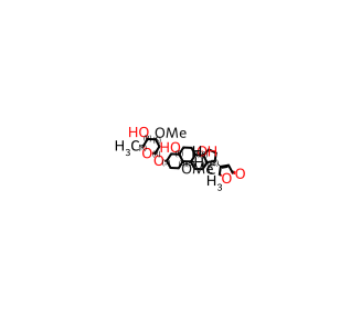 CO[C@H]1C[C@H](O[C@H]2CC[C@]3(OC)[C@H]4CC[C@]5(C)[C@@H](C6=CC(=O)OC6)CC[C@]5(O)[C@@H]4CC[C@]3(O)C2)O[C@H](C)[C@H]1O